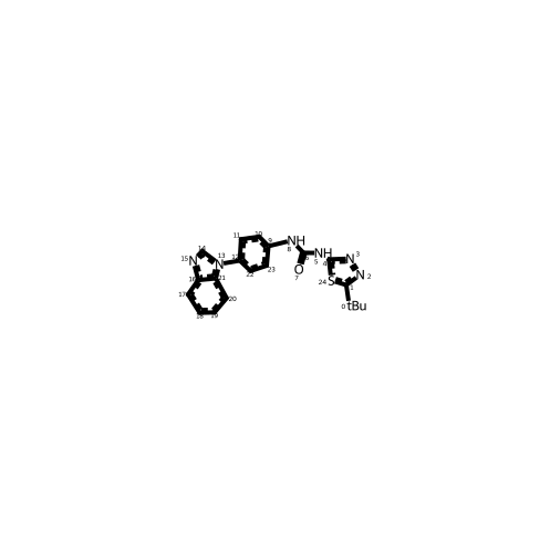 CC(C)(C)c1nnc(NC(=O)Nc2ccc(-n3cnc4ccccc43)cc2)s1